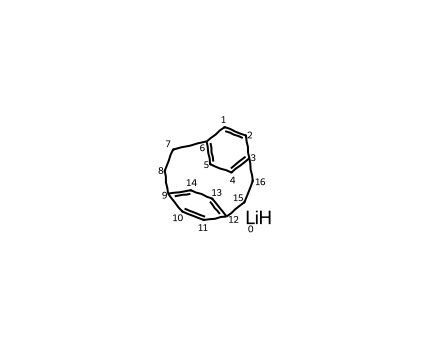 [LiH].c1cc2ccc1CCc1ccc(cc1)CC2